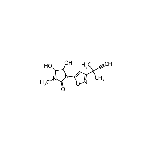 C#CC(C)(C)c1cc(N2C(=O)N(C)C(O)C2O)on1